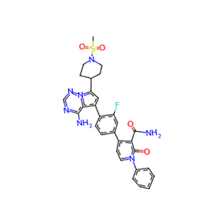 CS(=O)(=O)N1CCC(c2cc(-c3ccc(-c4ccn(-c5ccccc5)c(=O)c4C(N)=O)cc3F)c3c(N)ncnn23)CC1